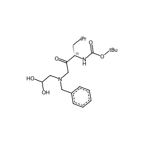 CC(C)C[C@H](NC(=O)OC(C)(C)C)C(=O)CN(Cc1ccccc1)CC(O)O